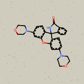 O=C1NC2(c3ccc(N4CCOCC4)cc3Oc3cc(N4CCOCC4)ccc32)c2ccccc21